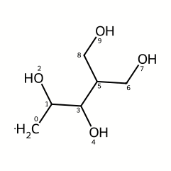 [CH2]C(O)C(O)C(CO)CO